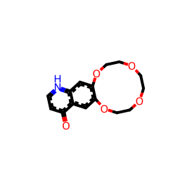 O=c1cc[nH]c2cc3c(cc12)OCCOCCOCCO3